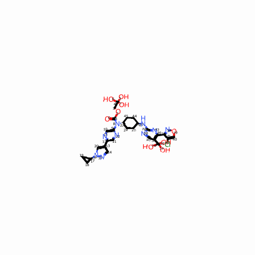 O=C(OCC(O)(O)O)N(c1cnc(-c2cnn(C3CC3)c2)cn1)[C@H]1CC[C@H](Nc2ncc(C(O)(O)O)c(-c3nocc3Cl)n2)CC1